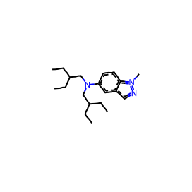 CCC(CC)CN(CC(CC)CC)c1ccc2c(cnn2C)c1